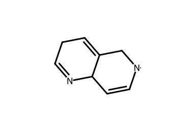 C1=CC2N=CCC=C2C[N]1